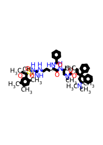 CC=C(OC(=O)N(C)CC(C)NC(=O)[C@H](CCCNC(=N)NS(=O)(=O)C1c2c(C)cc(C)c(C)c2OC1(C)C)NC(=O)c1ccccc1)C(CC(C)N(C)C)(c1ccccc1)c1ccccc1